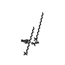 CC(=O)O.CCCCCCCCCCCCCCCC[N+](C)(C)C.CCCCCCCCCCCCCCCC[N+](C)(C)C.OO.[Br-].[Cl-]